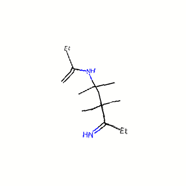 C=C(CC)NC(C)(C)C(C)(C)C(=N)CC